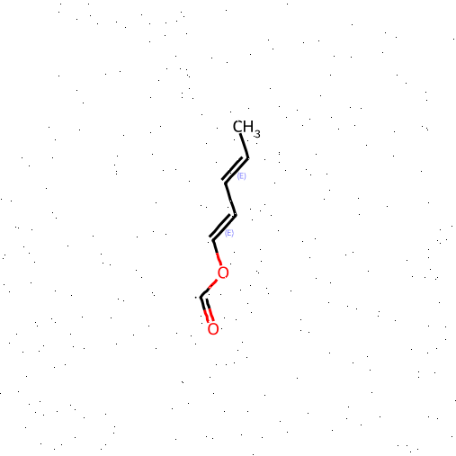 C/C=C/C=C/O[C]=O